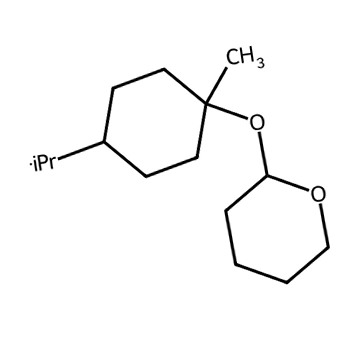 C[C](C)C1CCC(C)(OC2CCCCO2)CC1